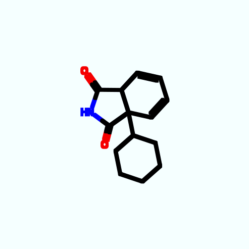 O=C1NC(=O)C2(C3CCCCC3)C=CC=CC12